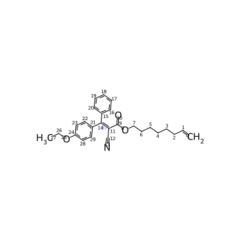 C=CCCCCCCOC(=O)/C(C#N)=C(\c1ccccc1)c1ccc(OCC)cc1